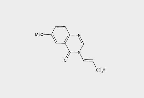 COc1ccc2ncn(C=CC(=O)O)c(=O)c2c1